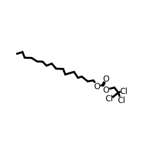 CCCCCCCCCCCCCCCCOC(=O)OCC(Cl)(Cl)Cl